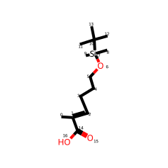 C/C(=C\CCCO[Si](C)(C)C(C)(C)C)C(=O)O